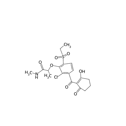 CCS(=O)(=O)c1ccc(C(=O)C2=C(O)CCCC2=O)c(Cl)c1OC(C)C(=O)NC